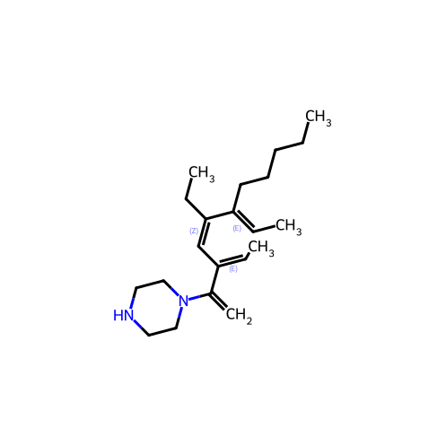 C=C(C(/C=C(CC)\C(=C\C)CCCCC)=C/C)N1CCNCC1